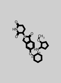 COC1CCCC1N[C@@H]1CCCC[C@H]1Oc1ccc2c(c1)CN(C1CCC(=O)NC1=O)C2=O